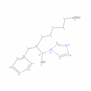 CCCCCCCCCCCCCCCC(Cc1ccccc1)C(CCC)n1ccnc1